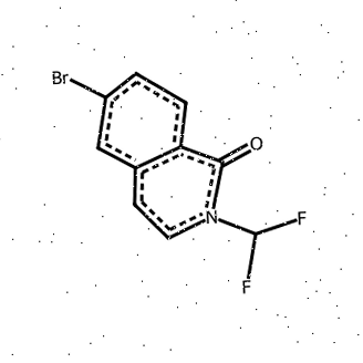 O=c1c2ccc(Br)cc2ccn1C(F)F